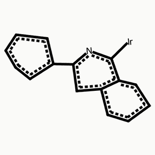 [Ir][c]1nc(-c2ccccc2)cc2ccccc12